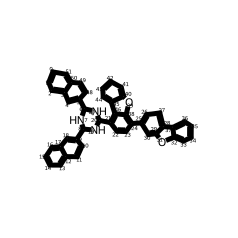 c1ccc2cc(C3NC(c4ccc5ccccc5c4)NC(c4ccc(-c5ccc6c(c5)oc5ccccc56)c5oc6ccccc6c45)N3)ccc2c1